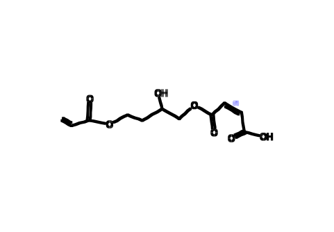 C=CC(=O)OCCC(O)COC(=O)/C=C\C(=O)O